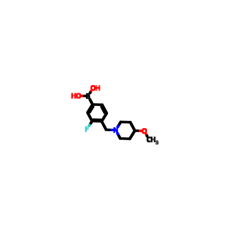 COC1CCN(Cc2ccc(B(O)O)cc2F)CC1